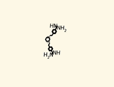 N=C(N)c1ccc(CC[C@H]2CCC[C@@H](CCc3ccc(C(=N)N)cc3)C2)cc1